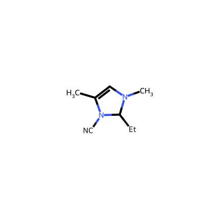 CCC1N(C)C=C(C)N1C#N